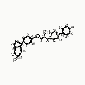 OC(COc1ccc(-c2noc3cc(F)ccc23)cc1)CN1CCN(c2ccccc2)CC1